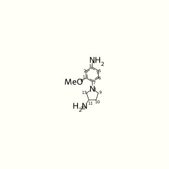 COc1cc(N)ccc1N1CCC(N)C1